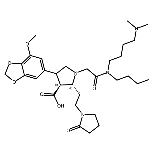 CCCCN(CCCCN(C)C)C(=O)CN1CC(c2cc(OC)c3c(c2)OCO3)[C@H](C(=O)O)[C@H]1CCN1CCCC1=O